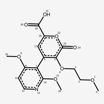 COCCOc1c(-c2c(OC)ccnc2OC)cc(C(=O)O)oc1=O